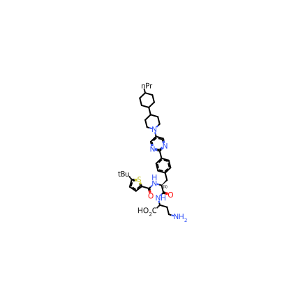 CCCC1CCC(C2CCN(c3cnc(-c4ccc(C[C@H](NC(=O)c5ccc(C(C)(C)C)s5)C(=O)NC(CCN)C(=O)O)cc4)nc3)CC2)CC1